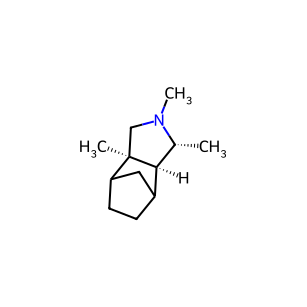 C[C@@H]1[C@H]2C3CCC(C3)[C@@]2(C)CN1C